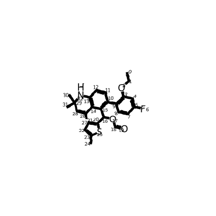 CCOc1cc(F)ccc1-c1ccc2c(c1C(OC=O)c1ccc(C)s1)C(C)=CC(C)(C)N2